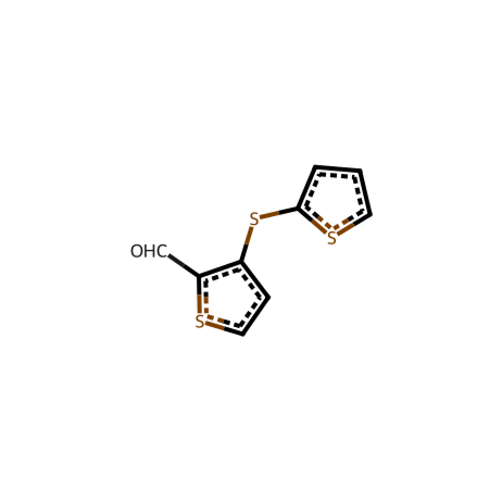 O=Cc1sccc1Sc1cccs1